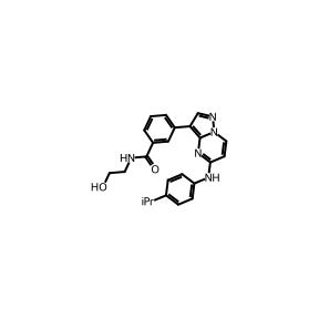 CC(C)c1ccc(Nc2ccn3ncc(-c4cccc(C(=O)NCCO)c4)c3n2)cc1